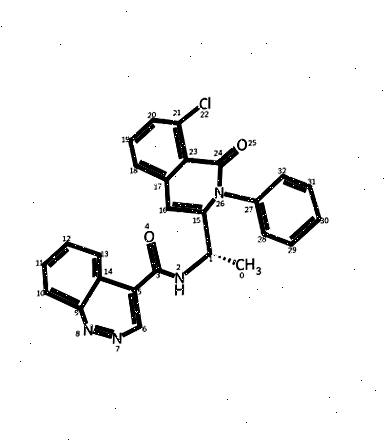 C[C@H](NC(=O)c1cnnc2ccccc12)c1cc2cccc(Cl)c2c(=O)n1-c1ccccc1